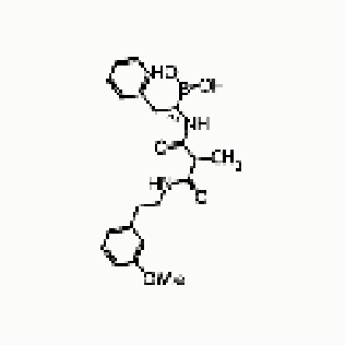 COc1cccc(CCNC(=O)C(C)C(=O)N[C@@H](Cc2ccccc2)B(O)O)c1